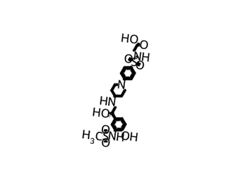 CS(=O)(=O)Nc1cc([C@@H](O)CNC2CCN(c3ccc(S(=O)(=O)NCC(=O)O)cc3)CC2)ccc1O